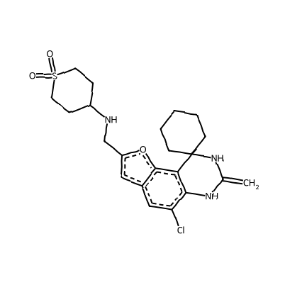 C=C1Nc2c(Cl)cc3cc(CNC4CCS(=O)(=O)CC4)oc3c2C2(CCCCC2)N1